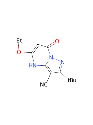 CCOc1cc(=O)n2nc(C(C)(C)C)c(C#N)c2[nH]1